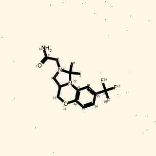 CC1(C)N(CC(N)=O)CC2COc3ccc(C(F)(F)F)cc3N21